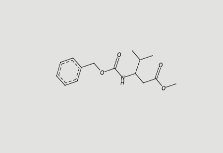 COC(=O)CC(NC(=O)OCc1ccccc1)C(C)C